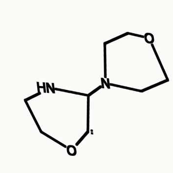 [C]1OCCNC1N1CCOCC1